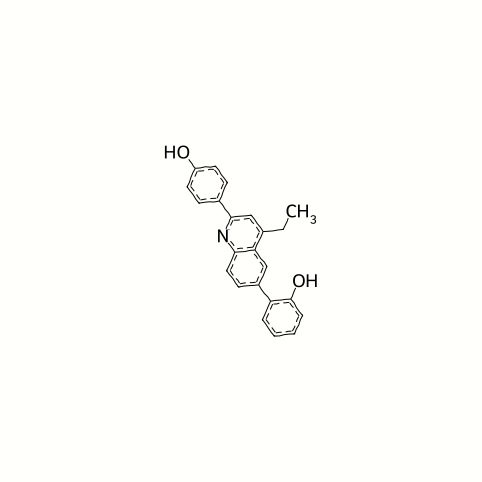 CCc1cc(-c2ccc(O)cc2)nc2ccc(-c3ccccc3O)cc12